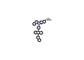 CCCCc1ccc2cc3c(cc2c1)c1ccc2ccccc2c1n3-c1ccc(-c2c3ccccc3c(-c3ccc4ccccc4c3)c3ccccc23)cc1